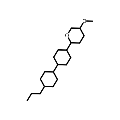 CCCC1CCC(C2CCC(C3CCC(OC)CO3)CC2)CC1